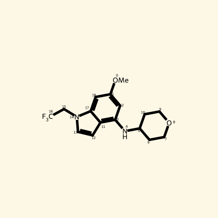 COc1cc(NC2CCOCC2)c2ccn(CC(F)(F)F)c2c1